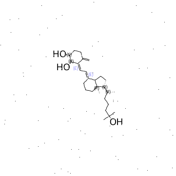 C=C1CC[C@H](O)[C@H](O)/C1=C/C=C1\CCC[C@@]2(C)C1CC[C@@H]2[C@H](C)CCCC(C)(C)O